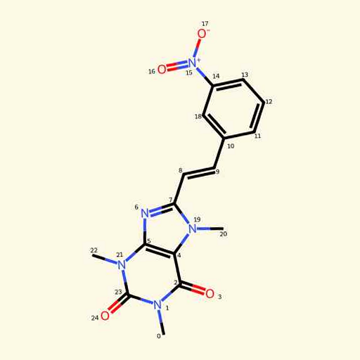 Cn1c(=O)c2c(nc(C=Cc3cccc([N+](=O)[O-])c3)n2C)n(C)c1=O